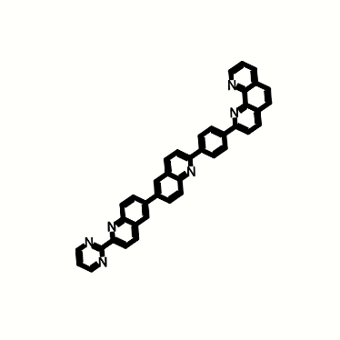 c1cnc(-c2ccc3cc(-c4ccc5nc(-c6ccc(-c7ccc8ccc9cccnc9c8n7)cc6)ccc5c4)ccc3n2)nc1